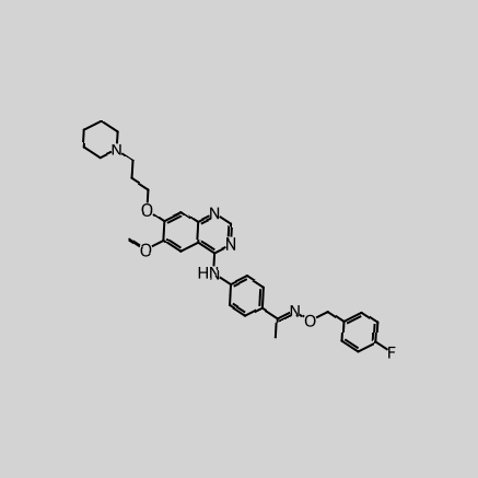 COc1cc2c(Nc3ccc(C(C)=NOCc4ccc(F)cc4)cc3)ncnc2cc1OCCCN1CCCCC1